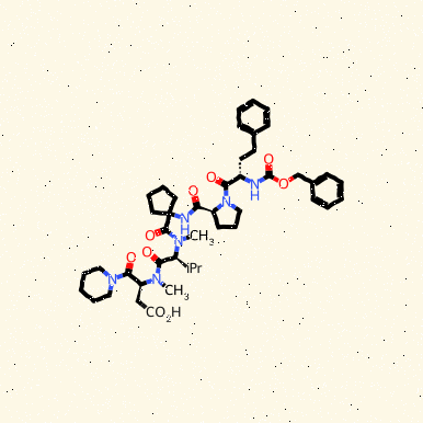 CC(C)[C@@H](C(=O)N(C)[C@@H](CC(=O)O)C(=O)N1CCCCC1)N(C)C(=O)C1(NC(=O)[C@@H]2CCCN2C(=O)[C@H](CCc2ccccc2)NC(=O)OCc2ccccc2)CCCC1